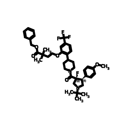 COc1ccc([C@@H]2CN(C(C)(C)C)C[C@@]2(F)C(=O)N2CCC(c3ccc(C(F)(F)F)cc3OCCC(C)(C)C(=O)OCc3ccccc3)CC2)cc1